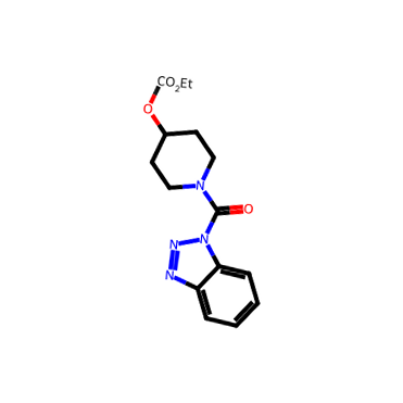 CCOC(=O)OC1CCN(C(=O)n2nnc3ccccc32)CC1